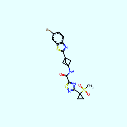 CS(=O)(=O)C1(c2nsc(C(=O)NC34CC(c5nc6ccc(Br)cc6s5)(C3)C4)n2)CC1